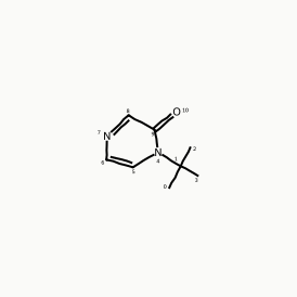 CC(C)(C)n1ccncc1=O